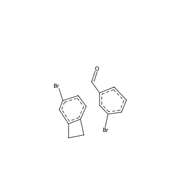 Brc1ccc2c(c1)CC2.O=Cc1cccc(Br)c1